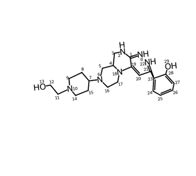 N=C1NCC2CN(C3CCN(CCO)CC3)CCN2/C1=C/C(=N)c1ccccc1O